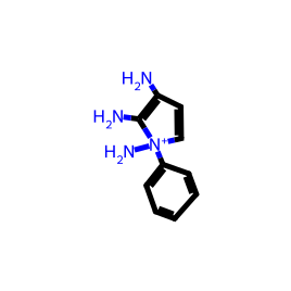 NC1=C(N)[N+](N)(c2ccccc2)C=C1